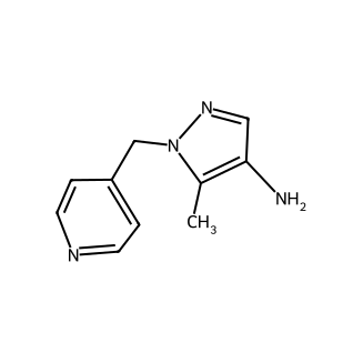 Cc1c(N)cnn1Cc1ccncc1